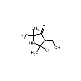 CC1(C)NC(C)(C)N(CO)C1=O